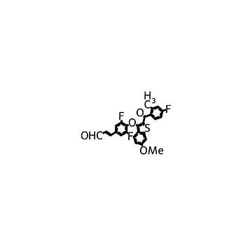 COc1ccc2c(Oc3c(F)cc(/C=C/C=O)cc3F)c(C(=O)c3ccc(F)cc3C)sc2c1